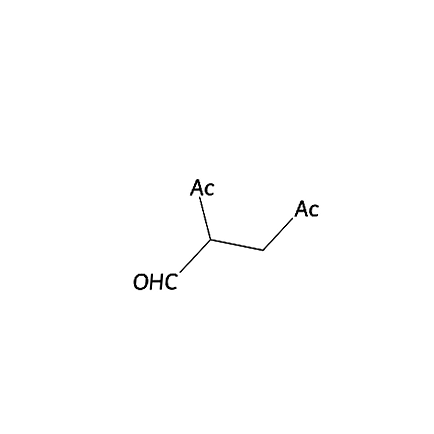 CC(=O)CC(C=O)C(C)=O